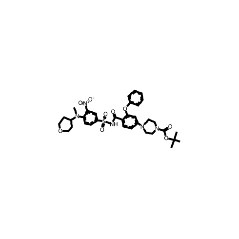 CN(c1ccc(S(=O)(=O)NC(=O)c2ccc(N3CCN(C(=O)OC(C)(C)C)CC3)cc2Oc2ccccc2)cc1[N+](=O)[O-])C1CCOCC1